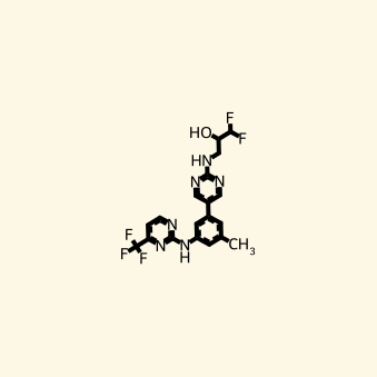 Cc1cc(Nc2nccc(C(F)(F)F)n2)cc(-c2cnc(NCC(O)C(F)F)nc2)c1